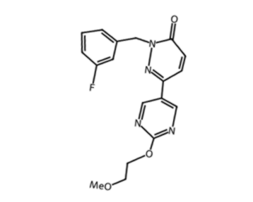 COCCOc1ncc(-c2ccc(=O)n(Cc3cccc(F)c3)n2)cn1